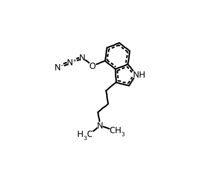 CN(C)CCCc1c[nH]c2cccc(ON=[N+]=[N-])c12